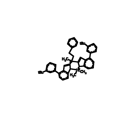 CC(C)(C)c1cccc(-c2cccc3c2C=C2[CH]3[Hf]([CH3])([CH3])[CH]3C(=Cc4c(-c5cccc(C(C)(C)C)c5)cccc43)[Si]2(C)CCc2ccccc2)c1